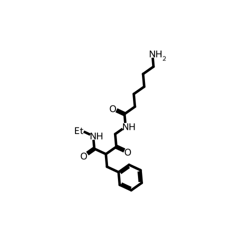 CCNC(=O)C(Cc1ccccc1)C(=O)CNC(=O)CCCCCN